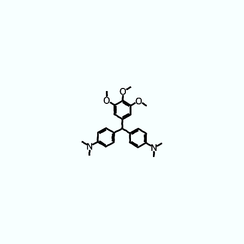 COc1cc(C(c2ccc(N(C)C)cc2)c2ccc(N(C)C)cc2)cc(OC)c1OC